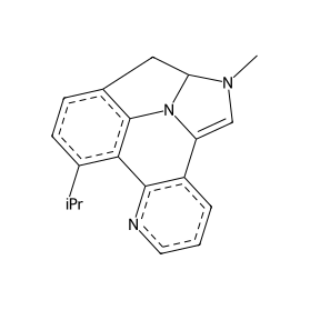 CC(C)c1ccc2c3c1-c1ncccc1C1=CN(C)C(C2)N13